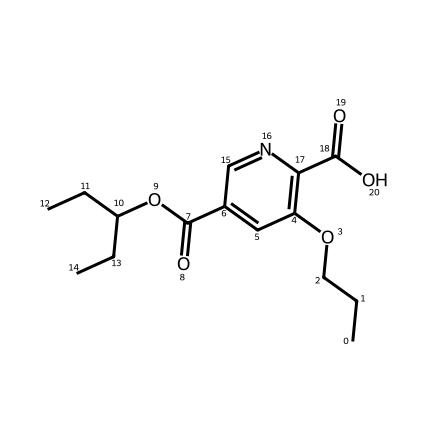 CCCOc1cc(C(=O)OC(CC)CC)cnc1C(=O)O